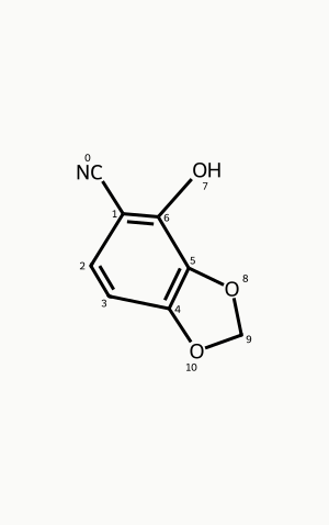 N#Cc1ccc2c(c1O)OCO2